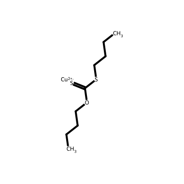 CCCCOC(=S)SCCCC.[Cu+2]